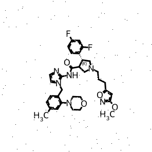 COc1cc(CCCN2CC(C(=O)Nc3nccn3Cc3ccc(C)cc3N3CCOCC3)[C@H](c3ccc(F)cc3F)C2)on1